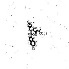 Cc1nc(CN([C@H]2CCN([C@@H](C)C(=O)O)C2=O)S(=O)(=O)c2ccc3cc(Cl)ccc3c2)cs1